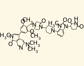 COc1cc(-c2cn(C)c(=O)c3cnc(N(C)C)cc23)cc(OC)c1CN1CCN(C2CCN(c3cccc4c3n(C)c(=O)n4C3CCC(=O)NC3=O)CC2)C(=O)C1